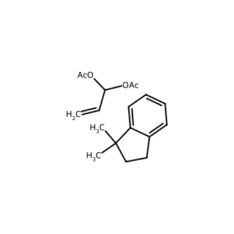 C=CC(OC(C)=O)OC(C)=O.CC1(C)CCc2ccccc21